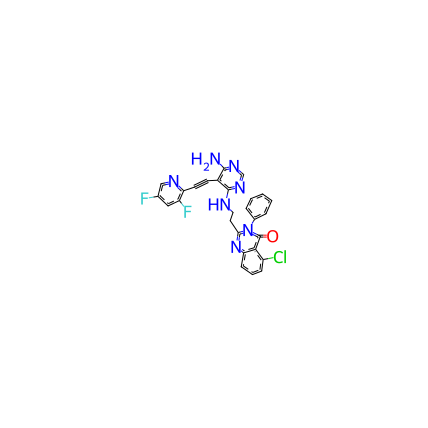 Nc1ncnc(NCCc2nc3cccc(Cl)c3c(=O)n2-c2ccccc2)c1C#Cc1ncc(F)cc1F